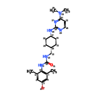 Cc1cc(Br)cc(C)c1NC(=O)NC[C@H]1CC[C@@H](Nc2nccc(N(C)C)n2)CC1